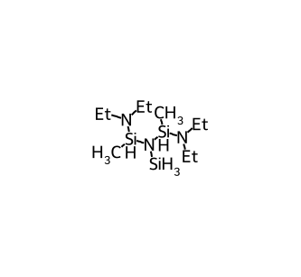 CCN(CC)[SiH](C)N([SiH3])[SiH](C)N(CC)CC